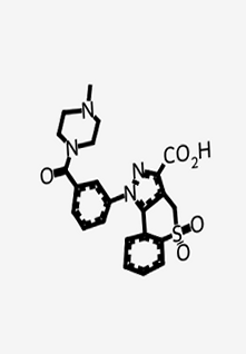 CN1CCN(C(=O)c2cccc(-n3nc(C(=O)O)c4c3-c3ccccc3S(=O)(=O)C4)c2)CC1